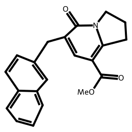 COC(=O)c1cc(Cc2ccc3ccccc3c2)c(=O)n2c1CCC2